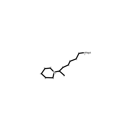 CCCCCCCCCCCCC(C)N1CCCCC1